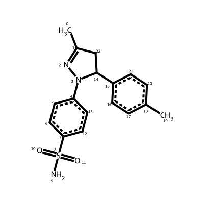 CC1=NN(c2ccc(S(N)(=O)=O)cc2)C(c2ccc(C)cc2)C1